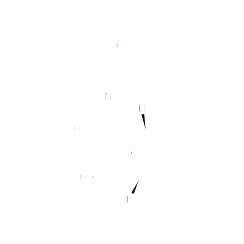 O=C(O)C1C(C(=O)N2CCOCC2)[C@@H]2CC[C@H]1O2